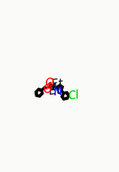 CCC(CC)(C(=O)OCc1ccccc1)[C@H]1CCC(c2cccc(Cl)c2)=N1